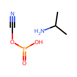 CC(C)N.N#CO[P](=O)O